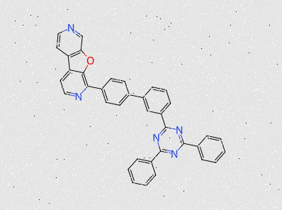 c1ccc(-c2nc(-c3ccccc3)nc(-c3cccc(-c4ccc(-c5nccc6c5oc5cnccc56)cc4)c3)n2)cc1